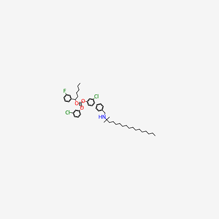 CCCCCC(OB(Oc1cccc(Cl)c1)Oc1cccc(Cl)c1)c1cccc(F)c1.CCCCCCCCCCCCCCCC(C)(C)NCc1ccccc1